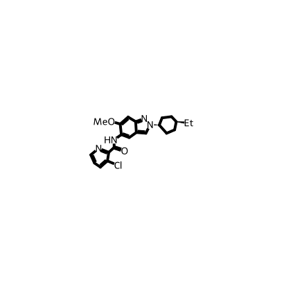 CC[C@H]1CC[C@H](n2cc3cc(NC(=O)c4ncccc4Cl)c(OC)cc3n2)CC1